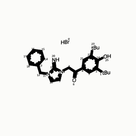 Br.CC(C)(C)c1cc(C(=O)Cn2ccn(Cc3ccccc3)c2=N)cc(C(C)(C)C)c1O